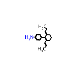 C=C/C=C1\CCCC(/C=C/C)=C1c1ccc(N)cc1